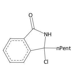 CCCCCC1(Cl)NC(=O)c2ccccc21